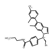 Cc1cc(C(F)(F)F)ccc1-c1cc2cnn([C@@H](CC(C)C)c3ccc(C(=O)NCCC(=O)O)cc3)c2cc1C